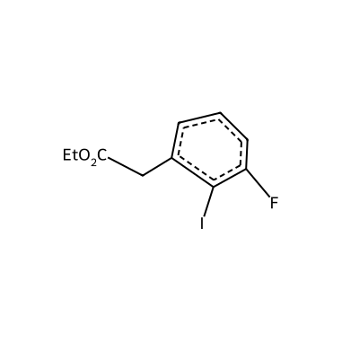 CCOC(=O)Cc1cccc(F)c1I